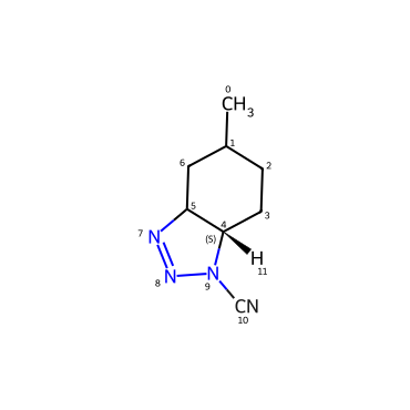 CC1CC[C@H]2C(C1)N=NN2C#N